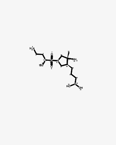 CC(C)(C)N(CCN)S(=O)(=O)N1C[C@H](CCCB(O)O)[C@@](C)(N)C1